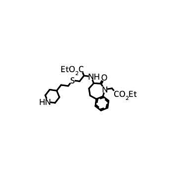 CCOC(=O)CN1C(=O)C(NC(CSCCC2CCNCC2)C(=O)OCC)CCc2ccccc21